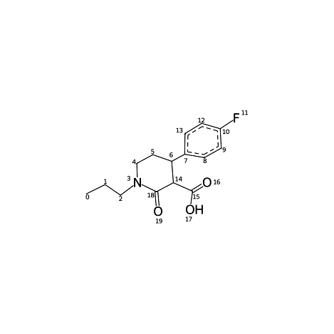 CCCN1CCC(c2ccc(F)cc2)C(C(=O)O)C1=O